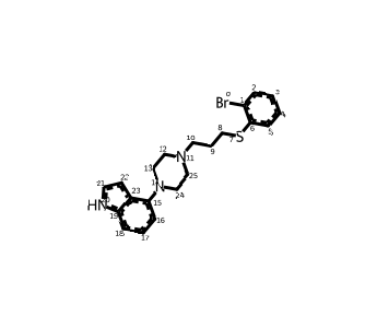 Brc1ccccc1SCCCN1CCN(c2cccc3[nH]ccc23)CC1